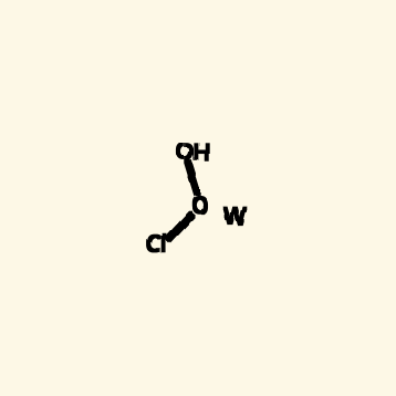 OOCl.[W]